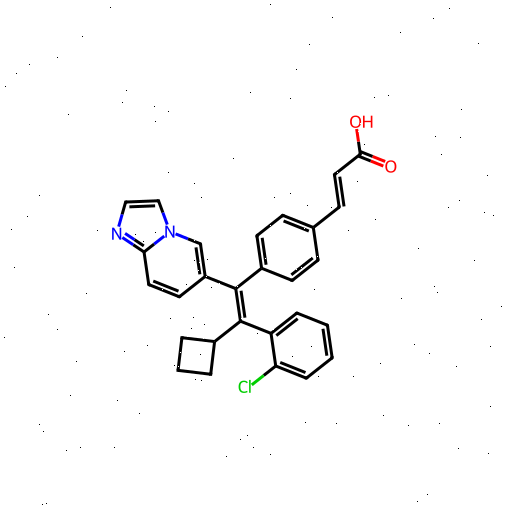 O=C(O)/C=C/c1ccc(/C(=C(\c2ccccc2Cl)C2CCC2)c2ccc3nccn3c2)cc1